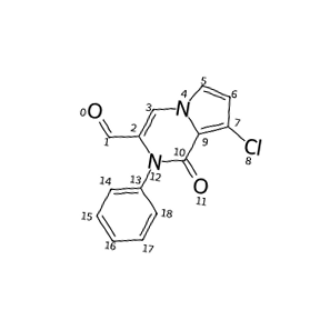 O=Cc1cn2ccc(Cl)c2c(=O)n1-c1ccccc1